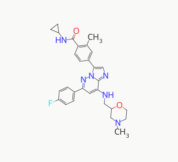 Cc1cc(-c2cnc3c(NCC4CN(C)CCO4)cc(-c4ccc(F)cc4)nn23)ccc1C(=O)NC1CC1